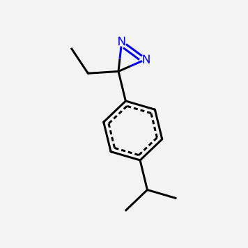 CCC1(c2ccc(C(C)C)cc2)N=N1